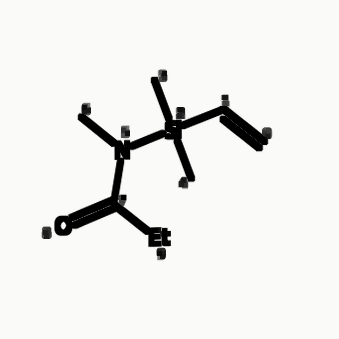 C=C[Si](C)(C)N(C)C(=O)CC